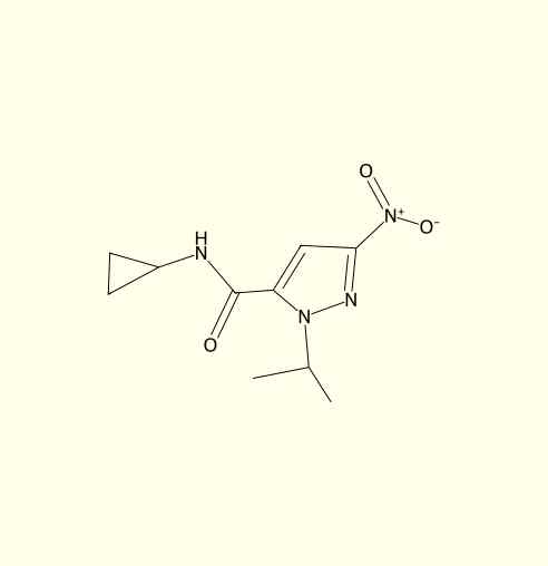 CC(C)n1nc([N+](=O)[O-])cc1C(=O)NC1CC1